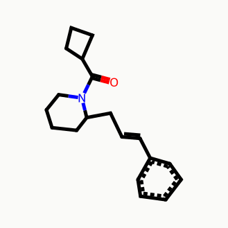 O=C(C1CCC1)N1CCCCC1C/C=C/c1ccccc1